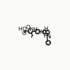 CCc1cc(C(=O)O)c(=O)[nH]c1-c1ccc(N2C[C@H]3CC[C@@H](N(C)Cc4ccccc4)[C@H]3C2)cc1